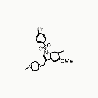 COC1=Cc2c(CN3CCN(C)CC3)cn(S(=O)(=O)c3ccc(C(C)C)cc3)c2CC1C